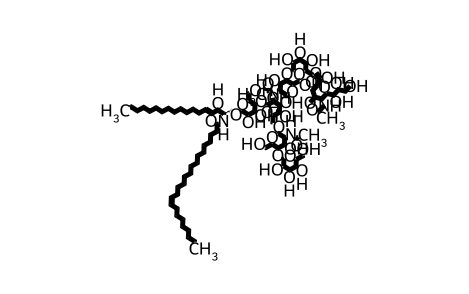 CCCCCCCC/C=C\CCCCCCCCCCCCCC(=O)N[C@@H](CO[C@@H]1OC(CO)[C@@H](O[C@@H]2OC(CO[C@@H]3OC(CO)[C@@H](O[C@@H]4OC(CO)[C@H](O)[C@H](O)C4O)[C@H](O)C3NC(C)=O)[C@H](O)[C@H](O[C@@H]3OC(CO)[C@@H](O[C@@H]4OC(CO[C@]5(C(=O)O)CC(O)[C@@H](NC(C)=O)C([C@H](O)[C@H](O)CO)O5)[C@H](O)[C@H](O)C4O)[C@H](O)C3NC(C)=O)C2O)[C@H](O)C1O)[C@H](O)/C=C/CCCCCCCCCCCCC